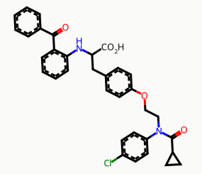 O=C(c1ccccc1)c1ccccc1NC(Cc1ccc(OCCN(C(=O)C2CC2)c2ccc(Cl)cc2)cc1)C(=O)O